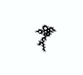 C=C/C=C\C(=C/C)N(/C=C/CC(C)/C=C\CC(/C=C/CC=C)/C(C)=C/C)C1CCC=Cc2c(/C=C\C=C)c(C)c3ccccc3c21